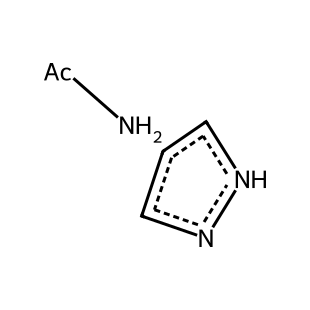 CC(N)=O.c1cn[nH]c1